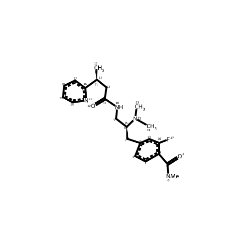 CNC(=O)c1ccc(C[C@@H](CNC(=O)C[C@H](C)c2ccccn2)N(C)C)cc1F